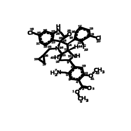 COC(=O)c1cc(N)c(C2C[C@H]3[C@@H](N2)[C@H](c2cccc(Cl)c2F)[C@]2(C(=O)Nc4cc(Cl)ccc42)N3CC2CC2)cc1OC